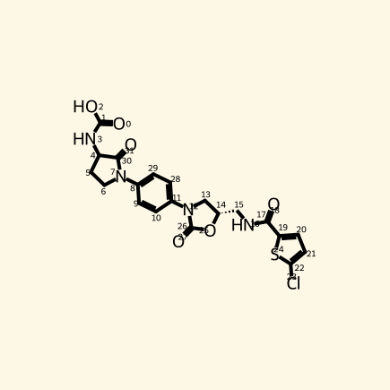 O=C(O)NC1CCN(c2ccc(N3C[C@H](CNC(=O)c4ccc(Cl)s4)OC3=O)cc2)C1=O